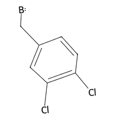 [B]Cc1ccc(Cl)c(Cl)c1